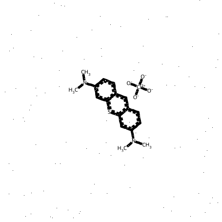 CN(C)c1ccc2cc3ccc(N(C)C)cc3[s+]c2c1.[O-][Cl+3]([O-])([O-])[O-]